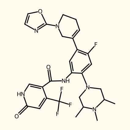 CC1CN(c2cc(F)c(C3=CCCN(c4ncco4)C3)cc2NC(=O)c2c[nH]c(=O)cc2C(F)(F)F)CC(C)N1C